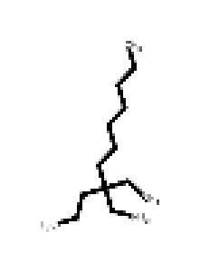 CCCCCCCC(CC)(CN)CCC